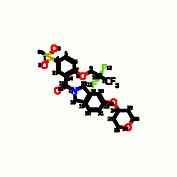 CS(=O)(=O)c1ccc(OCC(F)(F)C(F)(F)F)c(C(=O)N2Cc3ccc(OC4CCOCC4)cc3C2)c1